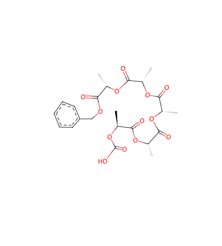 C[C@H](OC(=O)O)C(=O)O[C@@H](C)C(=O)O[C@@H](C)C(=O)O[C@@H](C)C(=O)O[C@@H](C)C(=O)OCc1ccccc1